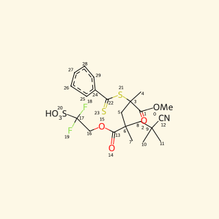 COC(=O)C(C)(CC(C)(CC(C)(C)C#N)C(=O)OCC(F)(F)S(=O)(=O)O)SC(=S)c1ccccc1